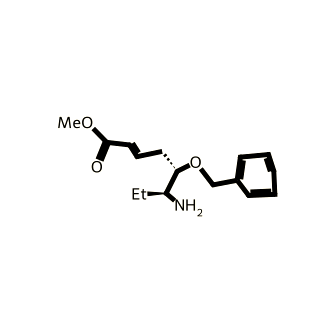 CC[C@H](N)[C@H](C/C=C/C(=O)OC)OCc1ccccc1